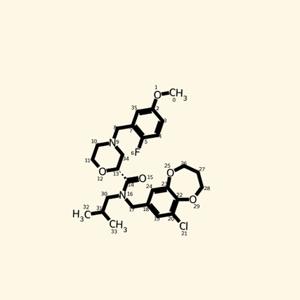 COc1ccc(F)c(CN2CCO[C@@H](C(=O)N(Cc3cc(Cl)c4c(c3)OCCCO4)CC(C)C)C2)c1